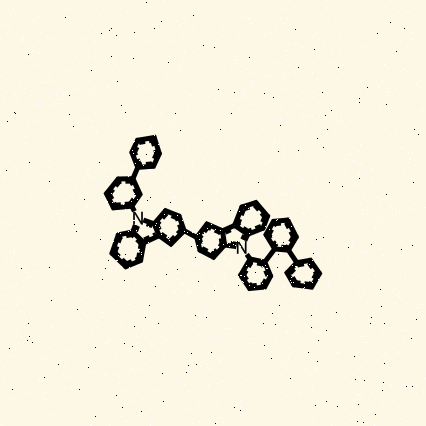 c1ccc(-c2cccc(-n3c4ccccc4c4cc(-c5ccc6c(c5)c5ccccc5n6-c5ccccc5-c5ccccc5-c5ccccc5)ccc43)c2)cc1